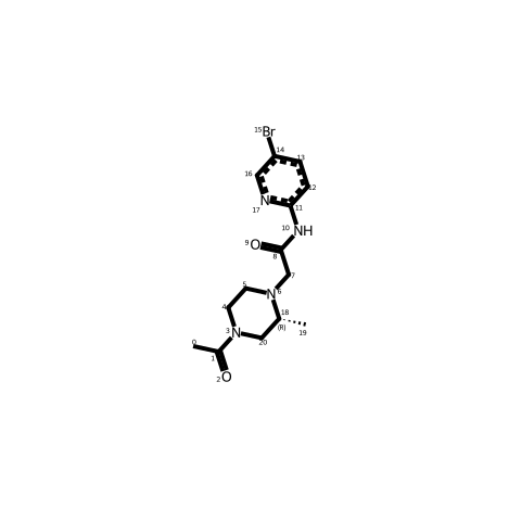 CC(=O)N1CCN(CC(=O)Nc2ccc(Br)cn2)[C@H](C)C1